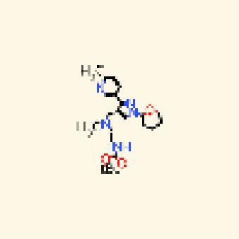 Cc1ccc(-c2nn(C3CCCCO3)cc2CN(C)CCNC(=O)OC(C)(C)C)cn1